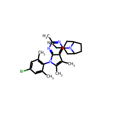 Cc1nc(N2C3CCC2CC(CC#N)C3)c2c(C)c(C)n(-c3c(C)cc(Br)cc3C)c2n1